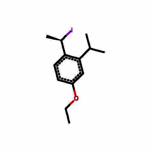 CCOc1ccc([C@@H](C)I)c(C(C)C)c1